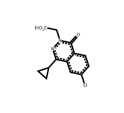 CCOC(=O)Cn1nc(C2CC2)c2cc(Cl)ccc2c1=O